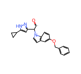 O=[C]C(c1cc(C2CC2)[nH]n1)n1ccc2cc(OCc3ccccc3)ccc21